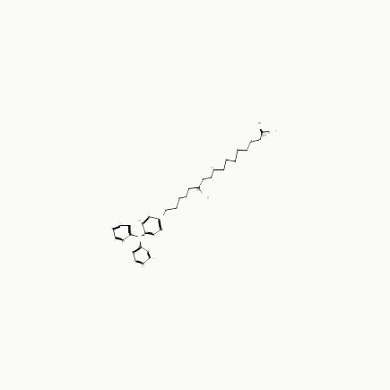 CCCCCCC(O)CCCCCCCCCCC(=O)O.c1ccc(P(c2ccccc2)c2ccccc2)cc1